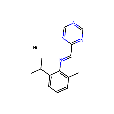 Cc1cccc(C(C)C)c1N=Cc1ncncn1.[Ni]